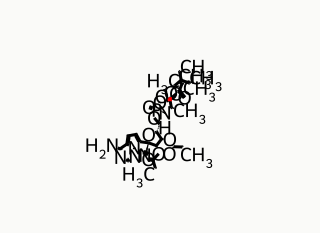 CCC(=O)O[C@H]1[C@@H](OC(=O)CC)[C@](C#N)(c2ccc3c(N)ncnn23)O[C@@H]1CO[P@@](=O)(N[C@@H](C)C(=O)OCC(CC)CC)OCOC(=O)C(C)(C)C